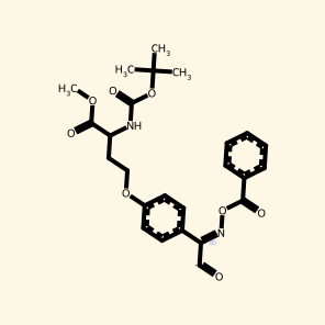 COC(=O)C(CCOc1ccc(/C([C]=O)=N\OC(=O)c2ccccc2)cc1)NC(=O)OC(C)(C)C